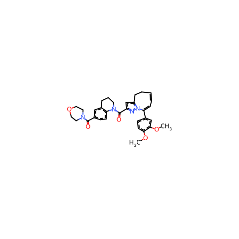 COc1ccc(/C2=C/C=C\CCc3cc(C(=O)N4CCCc5cc(C(=O)N6CCOCC6)ccc54)nn32)cc1OC